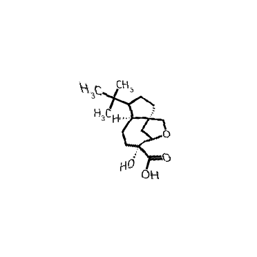 CC(C)(C)C1CC[C@]23COC(C2)[C@@](O)(C(=O)O)CC[C@@H]13